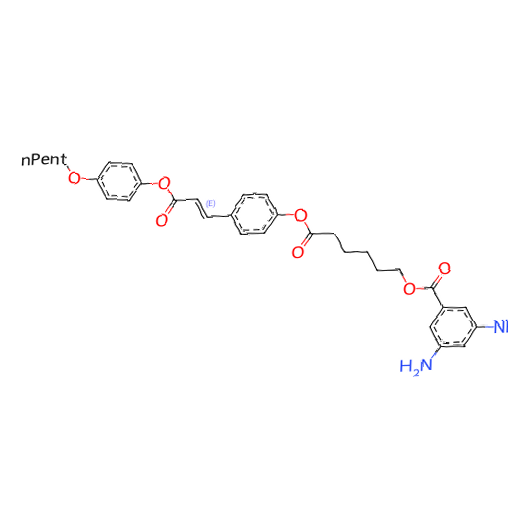 CCCCCOc1ccc(OC(=O)/C=C/c2ccc(OC(=O)CCCCCOC(=O)c3cc(N)cc(N)c3)cc2)cc1